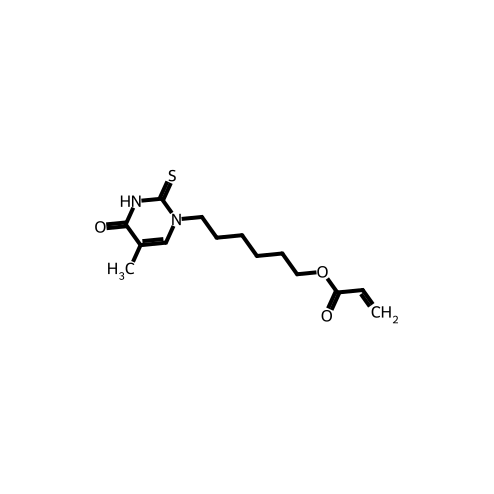 C=CC(=O)OCCCCCCn1cc(C)c(=O)[nH]c1=S